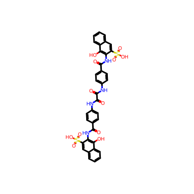 O=C(Nc1ccc(C(=O)Nc2c(S(=O)(=O)O)cc3ccccc3c2O)cc1)C(=O)Nc1ccc(C(=O)Nc2c(S(=O)(=O)O)cc3ccccc3c2O)cc1